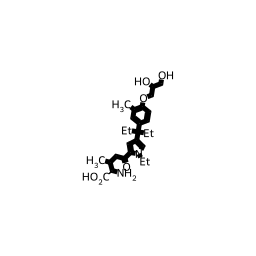 CCn1cc(C(CC)(CC)c2ccc(OCC(O)CO)c(C)c2)cc1C(=O)CC(C)[C@H](N)C(=O)O